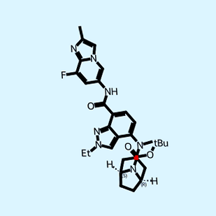 CCn1cc2c(N(C)C3C[C@H]4CC[C@@H](C3)N4C(=O)OC(C)(C)C)ccc(C(=O)Nc3cc(F)c4nc(C)cn4c3)c2n1